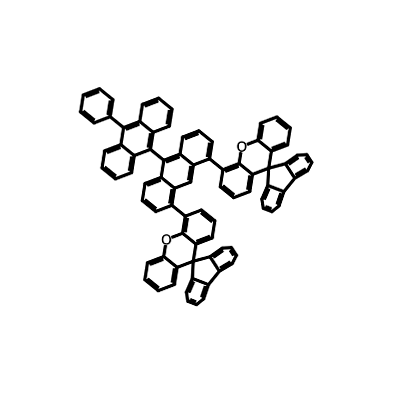 c1ccc(-c2c3ccccc3c(-c3c4cccc(-c5cccc6c5Oc5ccccc5C65c6ccccc6-c6ccccc65)c4cc4c(-c5cccc6c5Oc5ccccc5C65c6ccccc6-c6ccccc65)cccc34)c3ccccc23)cc1